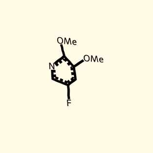 COc1cc(F)cnc1OC